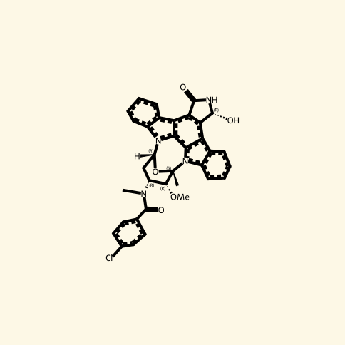 CO[C@@H]1[C@H](N(C)C(=O)c2ccc(Cl)cc2)C[C@H]2O[C@]1(C)n1c3ccccc3c3c4c(c5c6ccccc6n2c5c31)C(=O)N[C@@H]4O